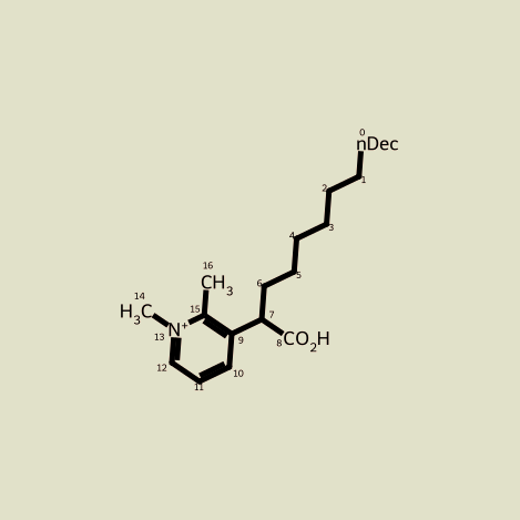 CCCCCCCCCCCCCCCCC(C(=O)O)c1ccc[n+](C)c1C